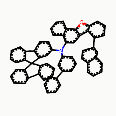 c1ccc(-c2cccc(N(c3ccc4c(c3)C3(c5ccccc5-c5ccccc53)c3ccccc3-4)c3cc4c(oc5cccc(-c6ccc7ccccc7c6)c54)c4ccccc34)c2)cc1